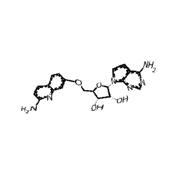 Nc1ccc2ccc(OCC3O[C@H](n4ccc5c(N)ncnc54)[C@H](O)[C@@H]3O)cc2n1